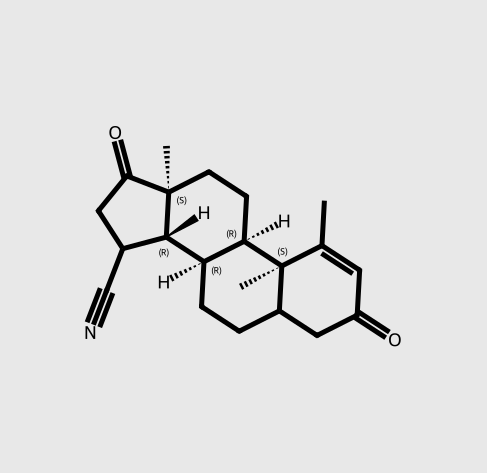 CC1=CC(=O)CC2CC[C@@H]3[C@@H](CC[C@]4(C)C(=O)CC(C#N)[C@@H]34)[C@@]12C